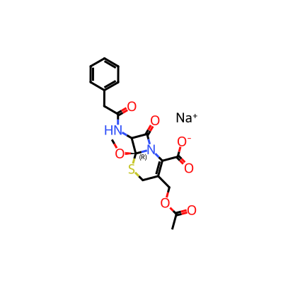 CO[C@]12SCC(COC(C)=O)=C(C(=O)[O-])N1C(=O)C2NC(=O)Cc1ccccc1.[Na+]